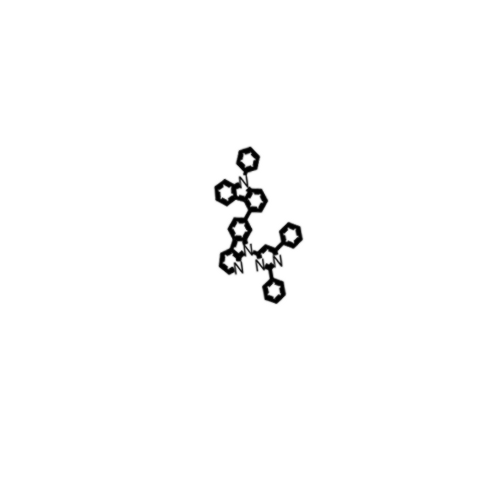 c1ccc(-c2cc(-n3c4cc(-c5cccc6c5c5ccccc5n6-c5ccccc5)ccc4c4cccnc43)nc(-c3ccccc3)n2)cc1